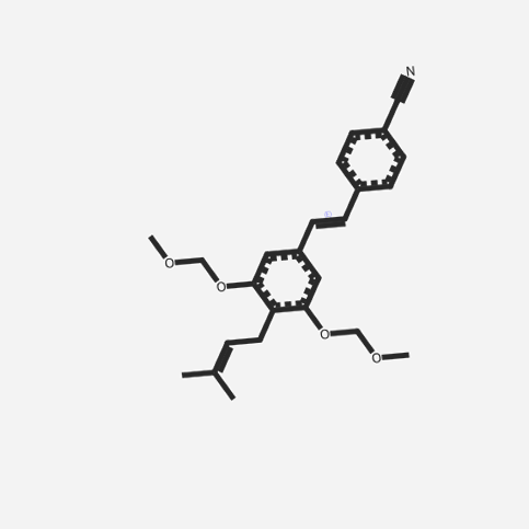 COCOc1cc(/C=C/c2ccc(C#N)cc2)cc(OCOC)c1CC=C(C)C